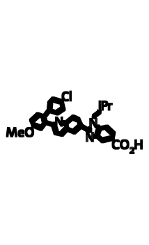 COc1ccc(-c2ccc(Cl)cc2)c(-c2ccc3cc(-c4nc5cc(C(=O)O)ccc5n4CCC(C)C)ccc3n2)c1